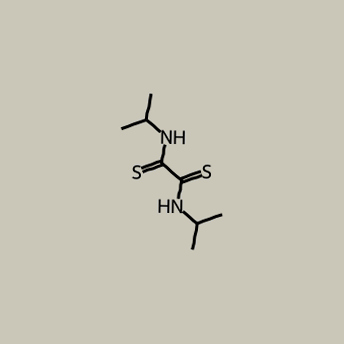 CC(C)NC(=S)C(=S)NC(C)C